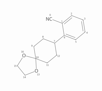 N#Cc1ccccc1C1CCC2(CC1)OCCO2